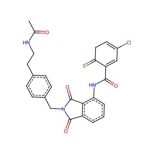 CC(=O)NCCc1ccc(CN2C(=O)c3cccc(NC(=O)C4=CC(Cl)=CCC4=S)c3C2=O)cc1